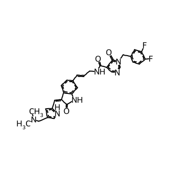 CN(C)Cc1c[nH]c(C=C2C(=O)Nc3cc(C=CCNC(=O)c4cncn(Cc5ccc(F)c(F)c5)c4=O)ccc32)c1